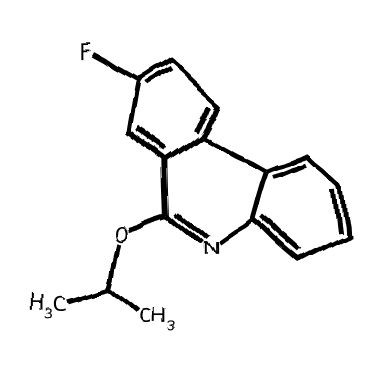 CC(C)Oc1nc2ccccc2c2ccc(F)cc12